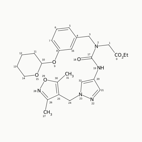 CCOC(=O)CN(Cc1cccc(OC2CCCCO2)c1)C(=O)Nc1cnn(Cc2c(C)noc2C)c1